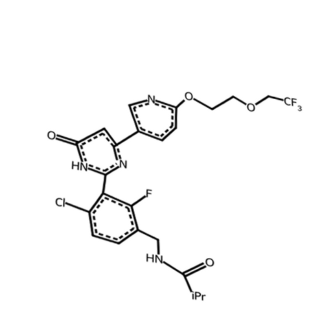 CC(C)C(=O)NCc1ccc(Cl)c(-c2nc(-c3ccc(OCCOCC(F)(F)F)nc3)cc(=O)[nH]2)c1F